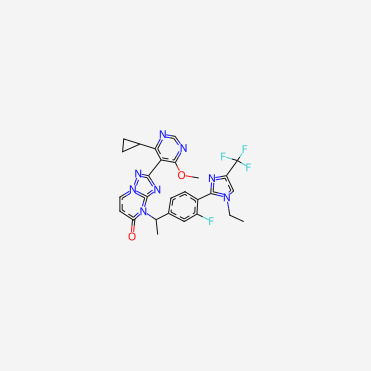 CCn1cc(C(F)(F)F)nc1-c1ccc(C(C)n2c(=O)ccn3nc(-c4c(OC)ncnc4C4CC4)nc23)cc1F